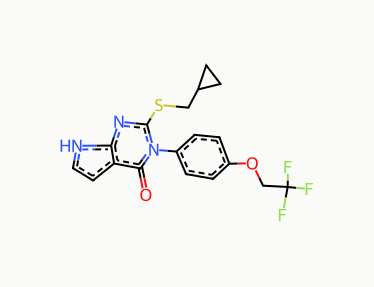 O=c1c2cc[nH]c2nc(SCC2CC2)n1-c1ccc(OCC(F)(F)F)cc1